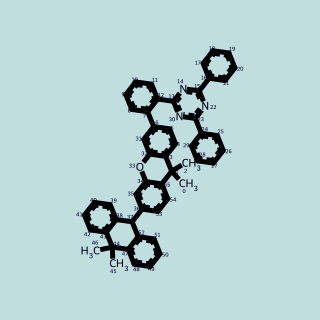 CC1(C)c2ccc(-c3ccccc3-c3nc(-c4ccccc4)nc(-c4ccccc4)n3)cc2Oc2cc(C3c4ccccc4C(C)(C)c4ccccc43)ccc21